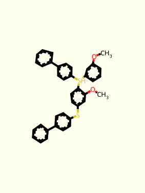 COc1cccc([SH](c2ccc(-c3ccccc3)cc2)c2ccc(Sc3ccc(-c4ccccc4)cc3)cc2OC)c1